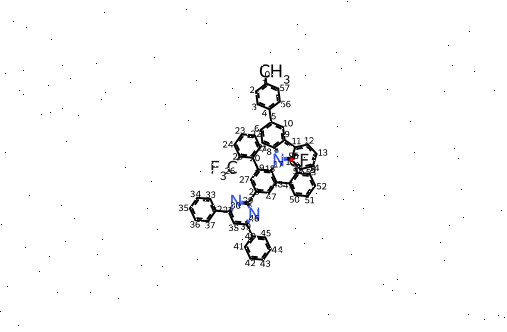 Cc1ccc(-c2ccc3c(c2)c2ccccc2n3-c2c(-c3ccccc3C(F)(F)F)cc(-c3nc(-c4ccccc4)cc(-c4ccccc4)n3)cc2-c2ccccc2C(F)(F)F)cc1